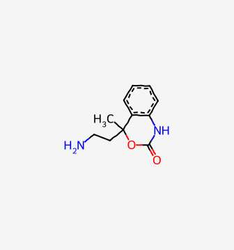 CC1(CCN)OC(=O)Nc2ccccc21